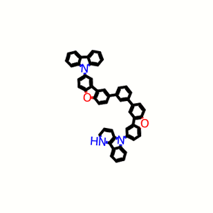 C1=Cc2c(c3ccccc3n2-c2ccc3oc4ccc(-c5cccc(-c6ccc7oc8ccc(-n9c%10ccccc%10c%10ccccc%109)cc8c7c6)c5)cc4c3c2)NC1